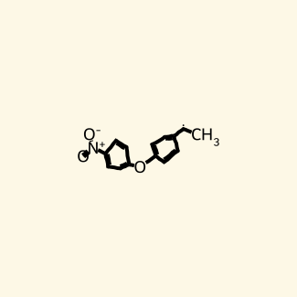 C[CH]c1ccc(Oc2ccc([N+](=O)[O-])cc2)cc1